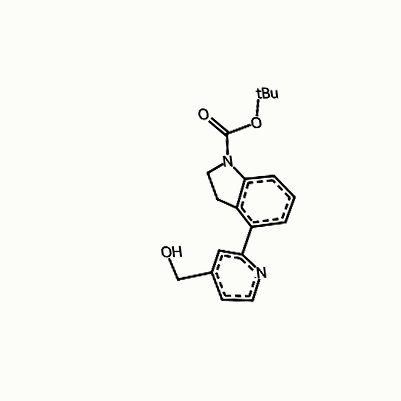 CC(C)(C)OC(=O)N1CCc2c(-c3cc(CO)ccn3)cccc21